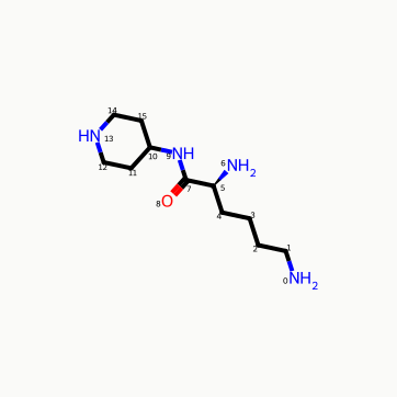 NCCCC[C@H](N)C(=O)NC1CCNCC1